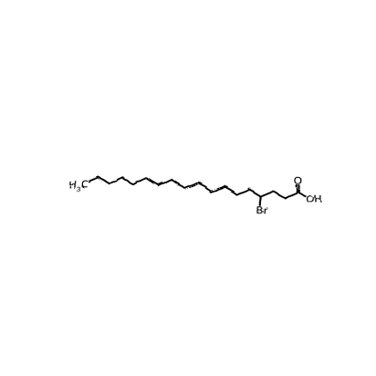 CCCCCCCCCCCCCCC(Br)CCC(=O)O